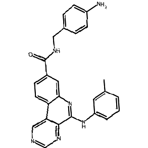 Cc1cccc(Nc2nc3cc(C(=O)NCc4ccc(N)cc4)ccc3c3cncnc23)c1